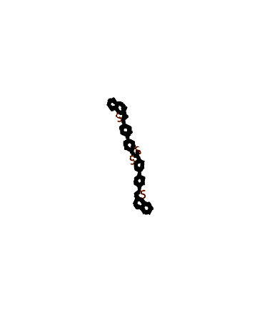 c1ccc2c(c1)ccc1cc(-c3ccc(-c4ccc5c(c4)sc4c6ccc(-c7ccc(-c8cc9ccc%10ccccc%10c9s8)cc7)cc6sc54)cc3)sc12